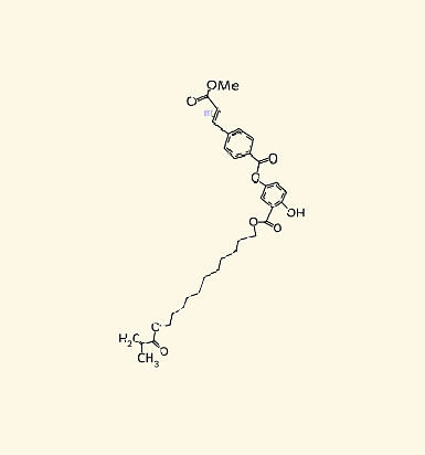 C=C(C)C(=O)OCCCCCCCCCCCOC(=O)c1cc(OC(=O)c2ccc(/C=C/C(=O)OC)cc2)ccc1O